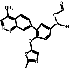 Cc1ncc(Oc2ccc(B(O)OC=O)cc2-c2ccc3c(N)cnnc3c2)s1